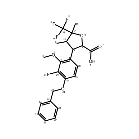 COc1c(C2C(C(=O)O)OC(C)(C(F)(F)F)C2C)ccc(OCc2ccccc2)c1F